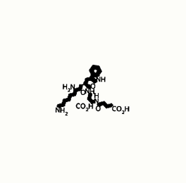 NCCCCCC[C@H](N)C(=O)C[C@H](Cc1c[nH]c2ccccc12)C(=O)NCC[C@@H](NC(=O)CCCC(=O)O)C(=O)O